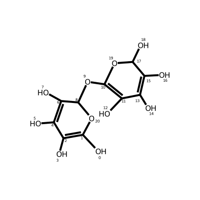 OC1=C(O)C(O)=C(O)C(OC2=C(O)C(O)=C(O)C(O)O2)O1